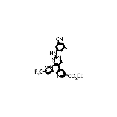 CCOC(=O)c1cncc(-c2cnc(Nc3cc(C)cc(C#N)c3)nc2-n2ccc(C(F)(F)F)n2)c1